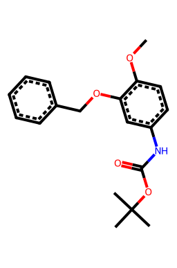 COc1ccc(NC(=O)OC(C)(C)C)cc1OCc1ccccc1